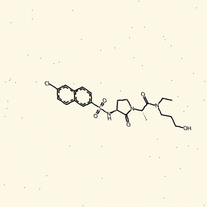 CCN(CCCO)C(=O)[C@H](C)N1CC[C@H](NS(=O)(=O)c2ccc3cc(Cl)ccc3c2)C1=O